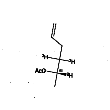 [2H]C([2H])(CC=C)[C@]([2H])(C)OC(C)=O